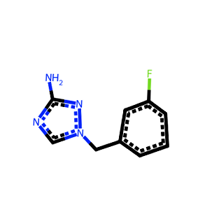 Nc1ncn(Cc2cccc(F)c2)n1